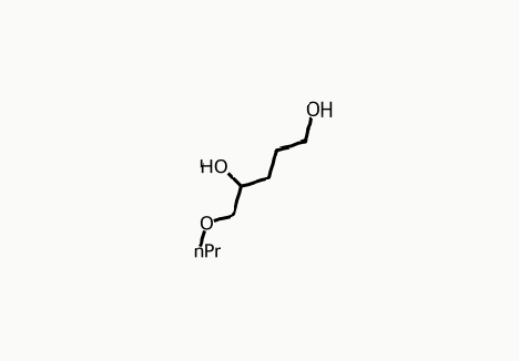 CCCOCC(O)CCCO